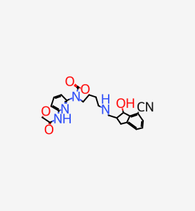 N#Cc1cccc2c1C(O)C(CNCCC1CN(c3ccc4c(n3)NC(=O)CO4)C(=O)O1)C2